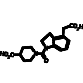 O=C(O)Cc1cccc2c1CCN2C(=O)N1CCC(C(=O)O)CC1